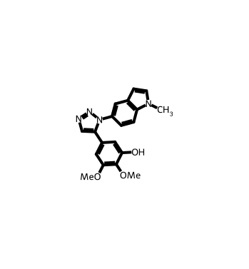 COc1cc(-c2cnnn2-c2ccc3c(ccn3C)c2)cc(O)c1OC